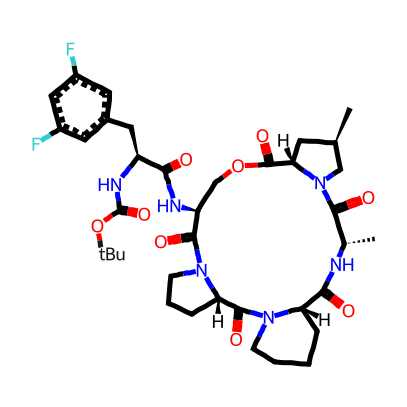 C[C@@H]1C[C@H]2C(=O)OC[C@H](NC(=O)[C@H](Cc3cc(F)cc(F)c3)NC(=O)OC(C)(C)C)C(=O)N3CCC[C@H]3C(=O)N3CCCC[C@H]3C(=O)N[C@@H](C)C(=O)N2C1